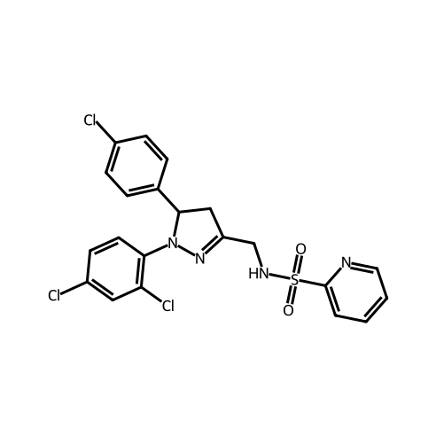 O=S(=O)(NCC1=NN(c2ccc(Cl)cc2Cl)C(c2ccc(Cl)cc2)C1)c1ccccn1